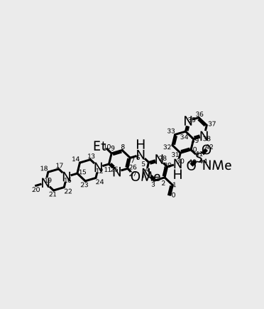 C=Cc1cnc(Nc2cc(CC)c(N3CCC(N4CCN(C)CC4)CC3)nc2OC)nc1Nc1ccc2nccnc2c1S(=O)(=O)NC